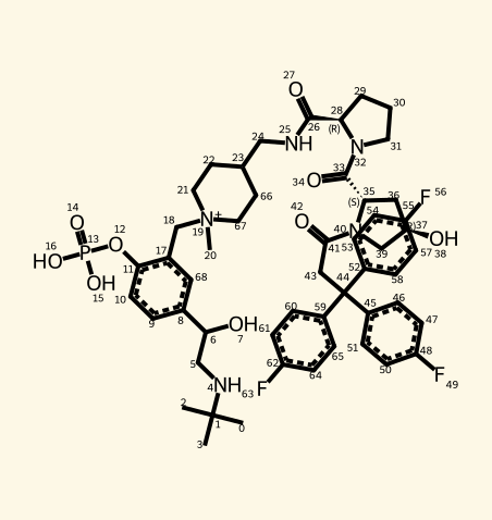 CC(C)(C)NCC(O)c1ccc(OP(=O)(O)O)c(C[N+]2(C)CCC(CNC(=O)[C@H]3CCCN3C(=O)[C@@H]3C[C@@H](O)CN3C(=O)CC(c3ccc(F)cc3)(c3ccc(F)cc3)c3ccc(F)cc3)CC2)c1